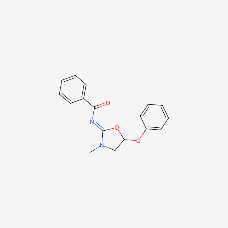 CN1CC(Oc2ccccc2)OC1=NC(=O)c1ccccc1